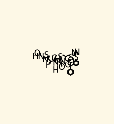 O=CNc1nc(C(=CI)C(=O)NC2C(=O)N3C(C(=O)OC(c4ccccc4)c4ccccc4)=C(CSc4nncs4)CS[C@@H]23)cs1